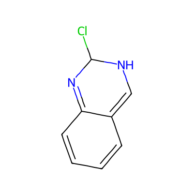 ClC1N=c2ccccc2=CN1